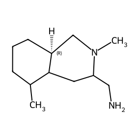 CC1CCC[C@H]2CN(C)C(CN)CC12